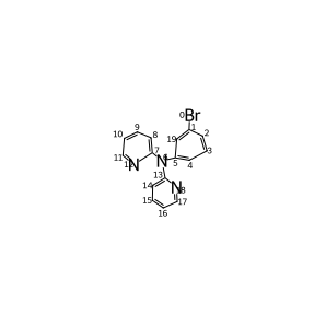 Brc1cccc(N(c2ccccn2)c2ccccn2)c1